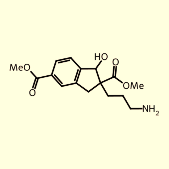 COC(=O)c1ccc2c(c1)CC(CCCN)(C(=O)OC)C2O